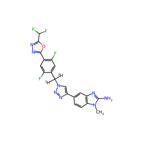 [2H]C([2H])(c1cc(F)c(-c2nnc(C(F)F)o2)cc1F)n1cc(-c2ccc3c(c2)nc(N)n3C)nn1